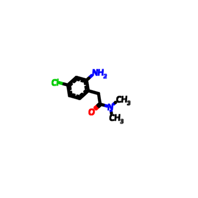 CN(C)C(=O)Cc1ccc(Cl)cc1N